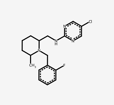 CC1CCCC(CNc2ncc(Cl)cn2)N1Cc1ccccc1F